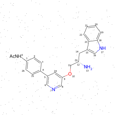 CC(=O)Nc1ccc(-c2cncc(OC[C@@H](N)Cc3c[nH]c4ccccc34)c2)cc1